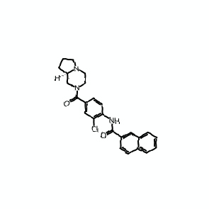 O=C(Nc1ccc(C(=O)N2CCN3CCC[C@@H]3C2)cc1Cl)c1ccc2ccccc2c1